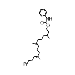 CC(C)CCC[C@@H](C)CCC[C@@H](C)CCCC(C)CCOC(=O)Nc1ccccc1